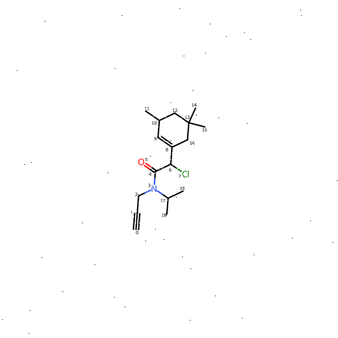 C#CCN(C(=O)C(Cl)C1=CC(C)CC(C)(C)C1)C(C)C